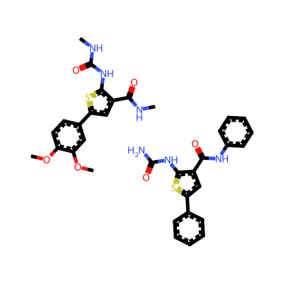 CNC(=O)Nc1sc(-c2ccc(OC)c(OC)c2)cc1C(=O)NC.NC(=O)Nc1sc(-c2ccccc2)cc1C(=O)Nc1ccccc1